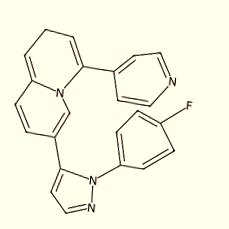 Fc1ccc(-n2nccc2C2=CN3C(=CCC=C3c3ccncc3)C=C2)cc1